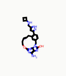 Nc1nc2nc3c1nc(O)n3Cc1ccc(-c3cc(CNC4CCC4)[nH]n3)c(c1)C/C=C/CCO2